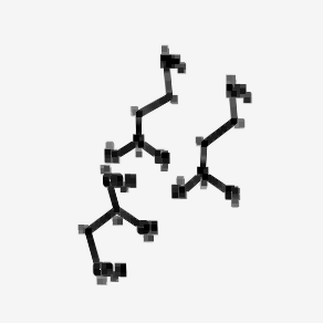 CCN(CC)CCN.CCN(CC)CCN.O=C(O)CC(O)C(=O)O